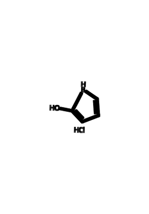 Cl.OC1=CC=CB1